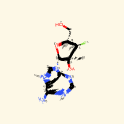 C[C@@]1(O)[C@H](F)[C@@H](CO)O[C@H]1n1cnc2c(N)ncnc21